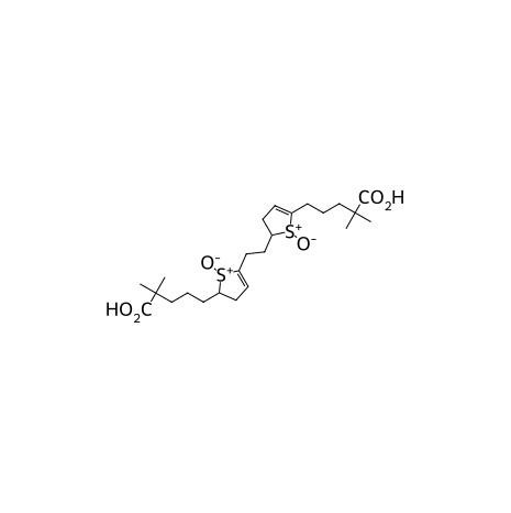 CC(C)(CCCC1=CCC(CCC2=CCC(CCCC(C)(C)C(=O)O)[S+]2[O-])[S+]1[O-])C(=O)O